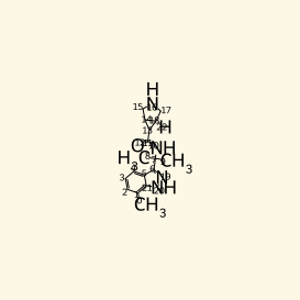 Cc1cccc2c(C(C)(C)NC(=O)C3C4CNC[C@H]43)n[nH]c12